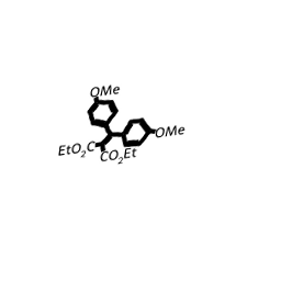 CCOC(=O)C(C(=O)OCC)=C(c1ccc(OC)cc1)c1ccc(OC)cc1